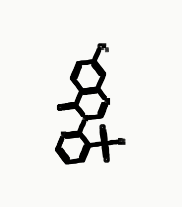 CCS(=O)(=O)c1cccnc1-n1cnc2cc(C(F)(F)F)ccc2c1=O